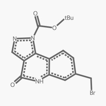 CC(C)(C)OC(=O)n1ncc2c(=O)[nH]c3cc(CBr)ccc3c21